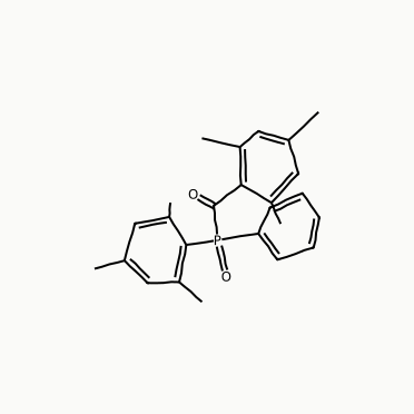 Cc1cc(C)c(C(=O)P(=O)(c2ccccc2)c2c(C)cc(C)cc2C)c(C)c1